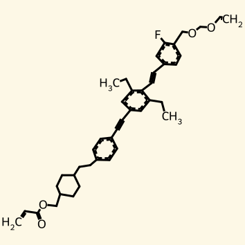 C=COCOCc1ccc(C#Cc2c(CC)cc(C#Cc3ccc(CCC4CCC(COC(=O)C=C)CC4)cc3)cc2CC)cc1F